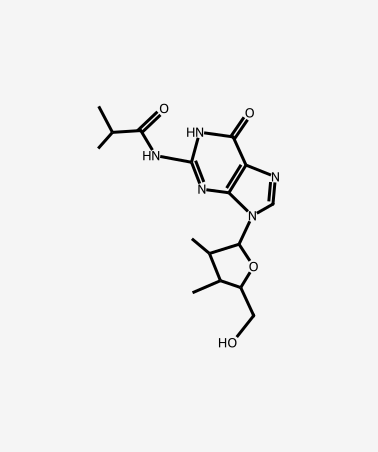 CC(C)C(=O)Nc1nc2c(ncn2C2OC(CO)C(C)C2C)c(=O)[nH]1